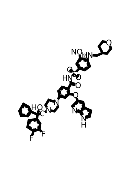 O=C(NS(=O)(=O)c1ccc(NCC2CCOCC2)c([N+](=O)[O-])c1)c1ccc(N2CCN(CC(O)(c3ccccc3)c3ccc(F)c(F)c3)CC2)cc1Oc1cnc2[nH]ccc2c1